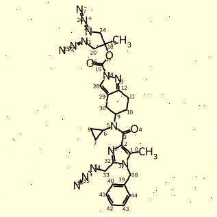 Cc1c(C(=O)N(C2CC2)C2CCc3nn(C(=O)OC(C)(CN=[N+]=[N-])CN=[N+]=[N-])cc3C2)nc(CN=[N+]=[N-])n1Cc1ccccc1